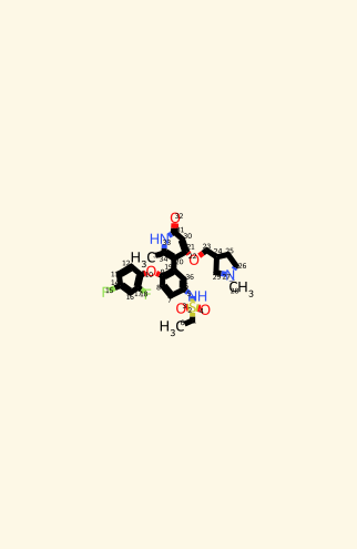 CCS(=O)(=O)Nc1ccc(Oc2ccc(F)cc2F)c(-c2c(OCC3CCN(C)C3)cc(=O)[nH]c2C)c1